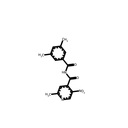 Cc1cc(C)cc(C(=O)NC(=O)c2cc(C)ncc2[N+](=O)[O-])c1